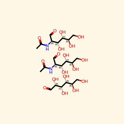 CC(=O)N[C@@H](C=O)[C@@H](O)[C@H](O)[C@H](O)CO.CC(=O)N[C@@H](C=O)[C@@H](O)[C@H](O)[C@H](O)CO.O=C[C@H](O)[C@@H](O)[C@H](O)[C@H](O)CO